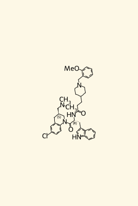 COc1ccccc1CN1CCC(CCC(=O)N[C@H](Cc2c[nH]c3ccccc23)C(=O)N2C[C@H](CN(C)C)Cc3cc(Cl)ccc32)CC1